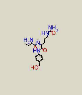 CCC(N)C(=O)N(C)C(CCCNC(N)=O)C(=O)Nc1ccc(CO)cc1